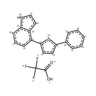 O=C(O)C(F)(F)F.c1ccc(-c2ccc(-c3ccnc4[nH]ccc34)s2)cc1